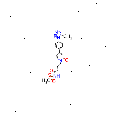 Cc1nnnn1-c1ccc(-c2ccn(CCCC(=O)NS(C)(=O)=O)c(=O)c2)cc1